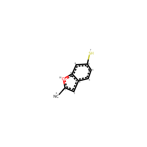 N#Cc1cc2ccc(S)cc2o1